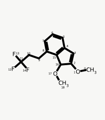 COC1=Cc2cccc(CCC(F)(F)F)c2C1OC